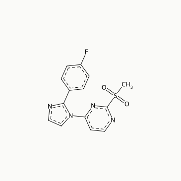 CS(=O)(=O)c1nccc(-n2ccnc2-c2ccc(F)cc2)n1